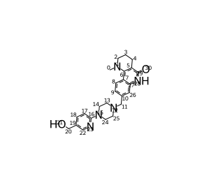 CN1CCCc2c1c1ccc(CN3CCN(c4ccc(CO)cn4)CC3)cc1[nH]c2=O